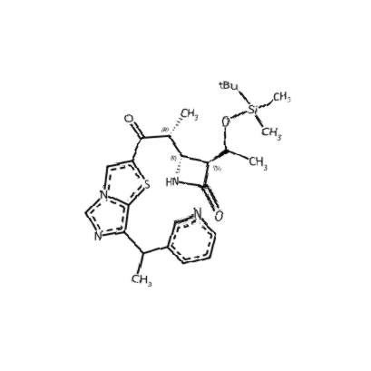 CC(c1cccnc1)c1ncn2cc(C(=O)[C@H](C)[C@H]3NC(=O)[C@@H]3C(C)O[Si](C)(C)C(C)(C)C)sc12